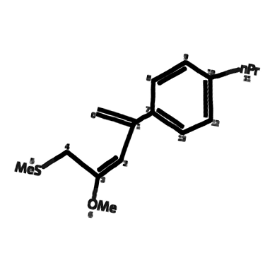 C=C(/C=C(\CSC)OC)c1ccc(CCC)cc1